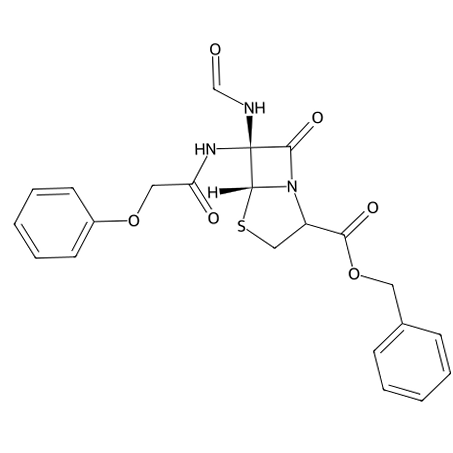 O=CN[C@@]1(NC(=O)COc2ccccc2)C(=O)N2C(C(=O)OCc3ccccc3)CS[C@@H]21